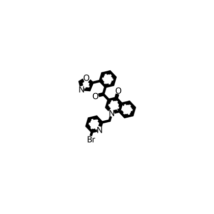 O=C(c1ccccc1-c1cnco1)c1cn(Cc2cccc(Br)n2)c2ccccc2c1=O